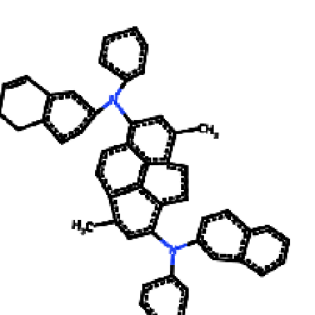 Cc1cc(N(c2ccccc2)c2ccc3c(c2)C=CCC3)c2ccc3c(C)cc(N(c4ccccc4)c4ccc5ccccc5c4)c4ccc1c2c34